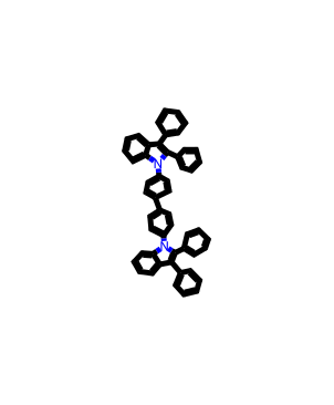 c1ccc(-c2c(-c3ccccc3)n(-c3ccc(-c4ccc(-n5c(-c6ccccc6)c(-c6ccccc6)c6ccccc65)cc4)cc3)c3ccccc23)cc1